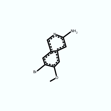 COc1cc2cc(N)ncc2cc1Br